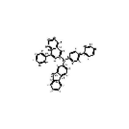 c1ccc(-c2ccc(N(c3cc(-c4ccccc4)c4ccccc4c3)c3ccc4c(c3)sc3ccccc34)cc2)cc1